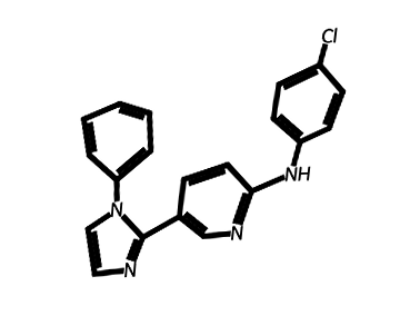 Clc1ccc(Nc2ccc(-c3nccn3-c3ccccc3)cn2)cc1